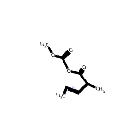 C/C=C/C(C)C(=O)OC(=O)OC